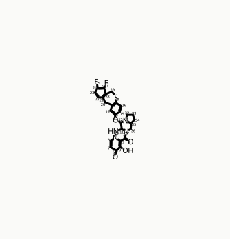 O=C1c2c(O)c(=O)ccn2NC2C(Oc3ccc4c(c3)Cc3ccc(F)c(F)c3CS4)N3CCCC3CN12